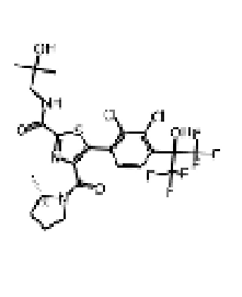 C[C@H]1CCCN1C(=O)c1nc(C(=O)NCC(C)(C)O)sc1-c1ccc(C(O)(C(F)(F)F)C(F)(F)F)c(Cl)c1Cl